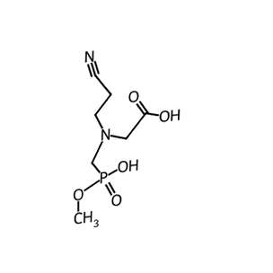 COP(=O)(O)CN(CCC#N)CC(=O)O